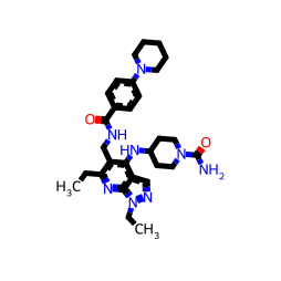 CCc1nc2c(cnn2CC)c(NC2CCN(C(N)=O)CC2)c1CNC(=O)c1ccc(N2CCCCC2)cc1